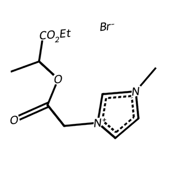 CCOC(=O)C(C)OC(=O)C[n+]1ccn(C)c1.[Br-]